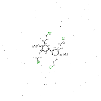 COc1c(CCCBr)cc(-c2cc(CCCBr)c(OC)c(CCCBr)c2)cc1CCCBr